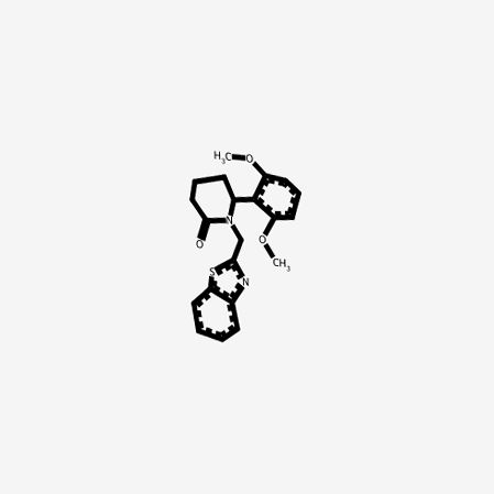 COc1cccc(OC)c1C1CCCC(=O)N1Cc1nc2ccccc2s1